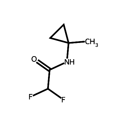 CC1(NC(=O)C(F)F)CC1